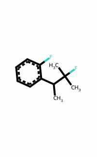 CC(c1ccccc1F)C(C)(C)F